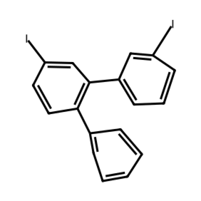 Ic1cccc(-c2cc(I)ccc2-c2ccccc2)c1